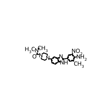 Cc1cc(-c2nc3cc(N4CCN(C(=O)N(C)C)CC4)ccc3[nH]2)cc([N+](=O)[O-])c1N